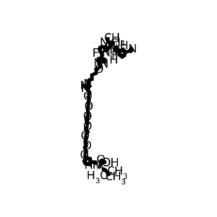 Cc1nc2cc(F)c(-c3cnc(OCCCCCn4cc(COCCOCCOCCOCCOCCOCCOc5cccc(CN[C@@H](CCC(C)(C)C)C(=O)O)c5)nn4)nc3)nc2c(N[C@H](C)c2cc(C#N)ccc2F)c1Cl